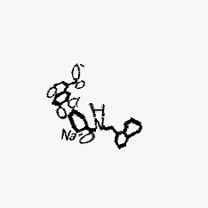 O=C(NCCc1cccc2ccccc12)c1ccc(Oc2cc3c(cc2Cl)C(C(=O)[O-])CCO3)cc1.[Na+]